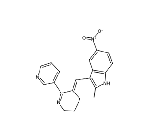 Cc1[nH]c2ccc([N+](=O)[O-])cc2c1/C=C1\CCCN=C1c1cccnc1